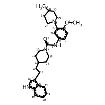 COc1ccc(NC(=O)N2CCC(CCc3c[nH]c4ccccc34)CC2)cc1N1CCC(C)CC1